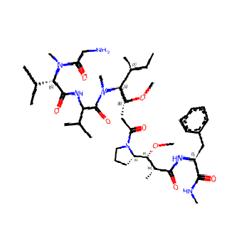 CC[C@H](C)[C@@H]([C@@H](CC(=O)N1CCC[C@H]1[C@H](OC)[C@@H](C)C(=O)N[C@@H](Cc1ccccc1)C(=O)NC)OC)N(C)C(=O)C(NC(=O)[C@H](C(C)C)N(C)C(=O)CN)C(C)C